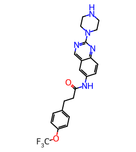 O=C(CCc1ccc(OC(F)(F)F)cc1)Nc1ccc2nc(N3CCNCC3)ncc2c1